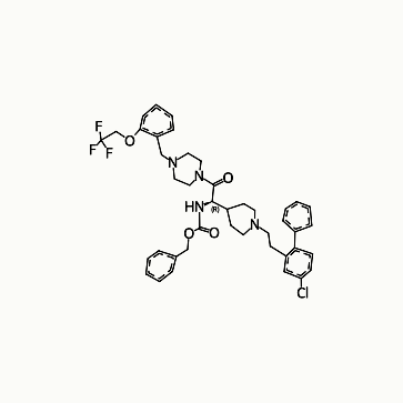 O=C(N[C@@H](C(=O)N1CCN(Cc2ccccc2OCC(F)(F)F)CC1)C1CCN(CCc2cc(Cl)ccc2-c2ccccc2)CC1)OCc1ccccc1